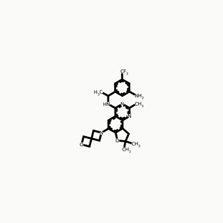 Cc1nc(NC(C)c2cc(N)cc(C(F)(F)F)c2)c2cc(N3CC4(COC4)C3)c3c(c2n1)CC(C)(C)O3